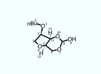 CCCCO[C@@H]1CO[C@@H]2COC(O)O[C@@H]21